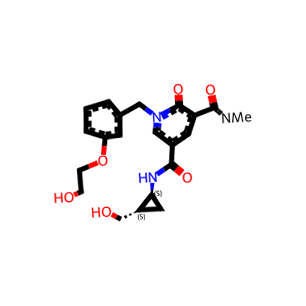 CNC(=O)c1cc(C(=O)N[C@H]2C[C@@H]2CO)cn(Cc2cccc(OCCO)c2)c1=O